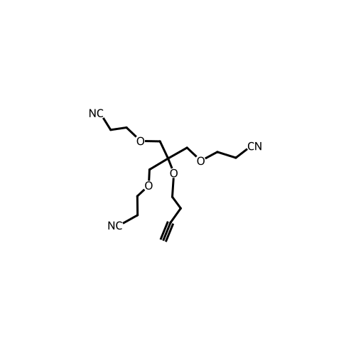 C#CCCOC(COCCC#N)(COCCC#N)COCCC#N